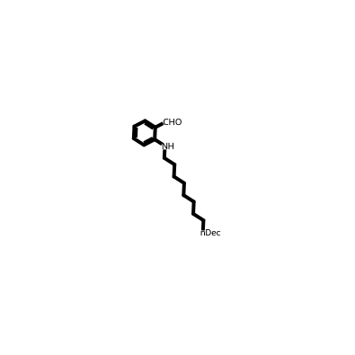 CCCCCCCCCCCCCCCCCCNc1ccccc1C=O